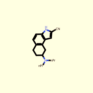 CCCN(CCC)C1CCc2ccc3[nH]c(C#N)cc3c2C1